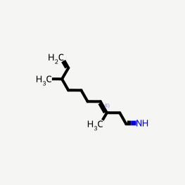 C=CC(C)CCC/C=C(\C)CC=N